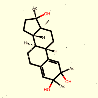 CC(=O)C1(O)C=C2CC[C@@H]3[C@H](CC[C@@]4(C)[C@H]3CC[C@@]4(O)C(C)=O)C2=CC1(O)C(C)=O